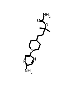 CC(C)(CCC1CCN(c2cnc(N)cn2)CC1)OC(N)=O